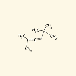 [CH2]C(C)(C)C=C=C(C)C